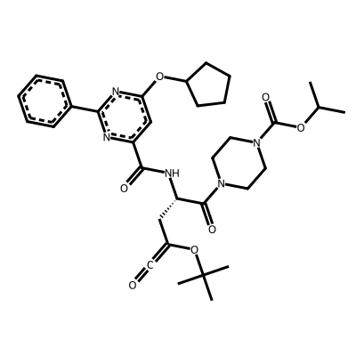 CC(C)OC(=O)N1CCN(C(=O)[C@H](CC(=C=O)OC(C)(C)C)NC(=O)c2cc(OC3CCCC3)nc(-c3ccccc3)n2)CC1